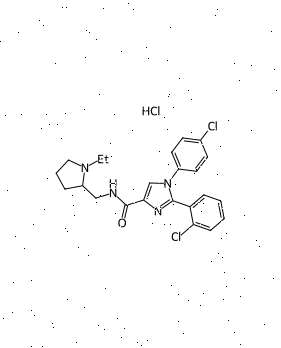 CCN1CCCC1CNC(=O)c1cn(-c2ccc(Cl)cc2)c(-c2ccccc2Cl)n1.Cl